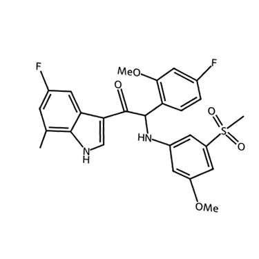 COc1cc(NC(C(=O)c2c[nH]c3c(C)cc(F)cc23)c2ccc(F)cc2OC)cc(S(C)(=O)=O)c1